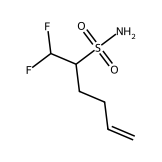 C=CCCC(C(F)F)S(N)(=O)=O